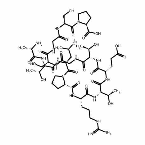 CC(C)C[C@H](NC(=O)[C@@H](NC(=O)[C@H](C)N)[C@@H](C)O)C(=O)N1CCC[C@H]1C(=O)N[C@@H](CCCNC(=N)N)C(=O)N[C@H](C(=O)N[C@@H](CCC(=O)O)C(=O)N[C@H](C(=O)NCC(=O)N[C@@H](CO)C(=O)NCC(=O)N[C@@H](CO)C(=O)N1CCC[C@H]1C(=O)O)[C@@H](C)O)[C@@H](C)O